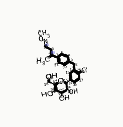 CO/N=C/C=C(\C)c1ccc(Cc2cc([C@@H]3O[C@H](CO)[C@@H](O)[C@H](O)[C@H]3O)ccc2Cl)cc1